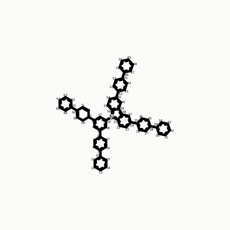 C1=CC(c2cc(-c3ccc(-c4ccccc4)cc3)cc(-n3c4ccc(-c5ccc(-c6ccccc6)cc5)cc4c4cc(-c5ccc(-c6ccccc6)cc5)ccc43)c2)CC=C1c1ccccc1